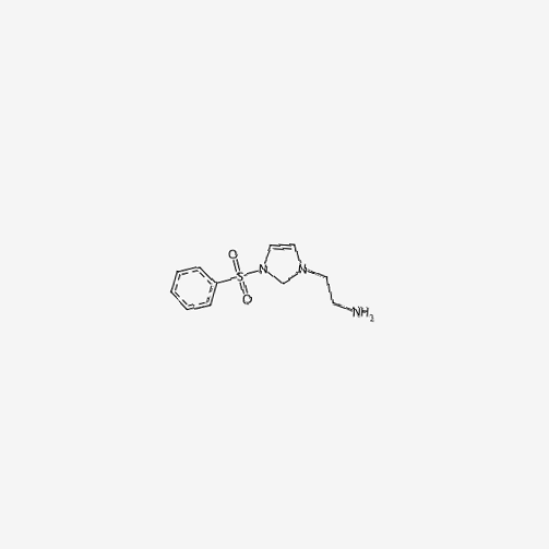 NCCN1C=CN(S(=O)(=O)c2ccccc2)C1